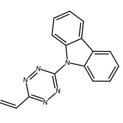 C=Cc1nnc(-n2c3ccccc3c3ccccc32)nn1